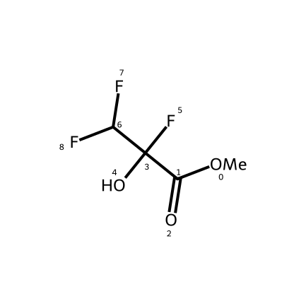 COC(=O)C(O)(F)C(F)F